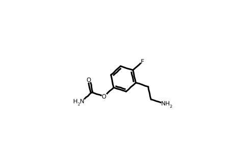 NCCc1cc(OC(N)=O)ccc1F